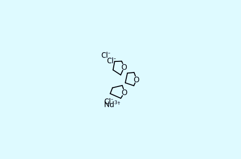 C1CCOC1.C1CCOC1.C1CCOC1.[Cl-].[Cl-].[Cl-].[Nd+3]